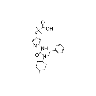 CC1CCC(N(CCc2ccccc2)C(=O)Nc2ncc(SC(C)(C)C(=O)O)s2)CC1